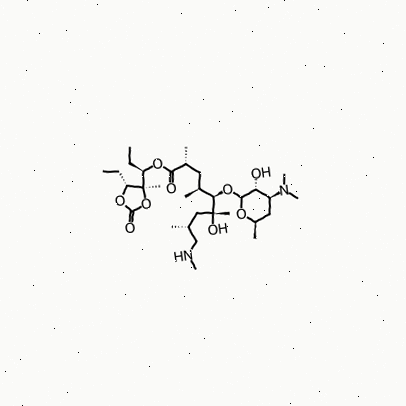 CC[C@H]1OC(=O)O[C@]1(C)[C@@H](CC)OC(=O)[C@H](C)C[C@H](C)[C@@H](OC1O[C@H](C)C[C@H](N(C)C)[C@H]1O)[C@](C)(O)C[C@@H](C)CNC